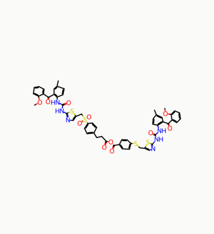 COc1ccccc1C(=O)c1cc(C)ccc1NC(=O)Nc1ncc(CSc2ccc(C(=O)OC(=O)CCc3ccc(S(=O)(=O)Cc4cnc(NC(=O)Nc5ccc(C)cc5C(=O)c5ccccc5OC)s4)cc3)cc2)s1